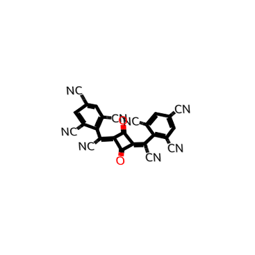 N#CC(c1c(C#N)cc(C#N)cc1C#N)=c1c(=O)c(=C(C#N)c2c(C#N)cc(C#N)cc2C#N)c1=O